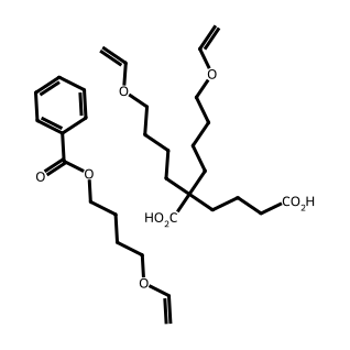 C=COCCCCC(CCCCOC=C)(CCCC(=O)O)C(=O)O.C=COCCCCOC(=O)c1ccccc1